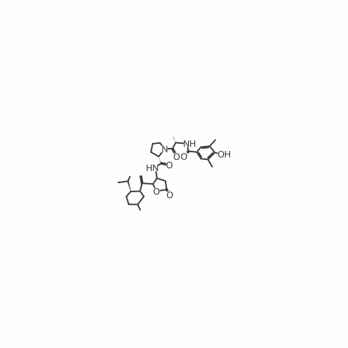 C=C(C1OC(=O)CC1NC(=O)[C@@H]1CCCN1C(=O)[C@H](C)NC(=O)c1cc(C)c(O)c(C)c1)C1CC(C)CC[C@H]1C(C)C